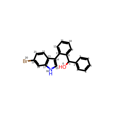 OC(c1ccccc1)c1ccccc1-c1c[nH]c2cc(Br)ccc12